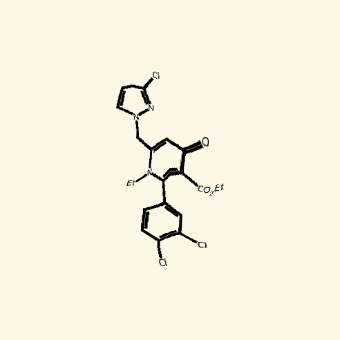 CCOC(=O)c1c(-c2ccc(Cl)c(Cl)c2)n(CC)c(Cn2ccc(Cl)n2)cc1=O